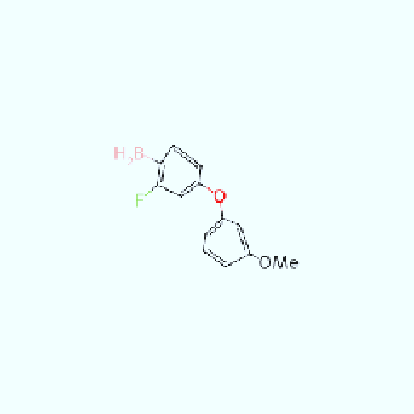 Bc1ccc(Oc2cccc(OC)c2)cc1F